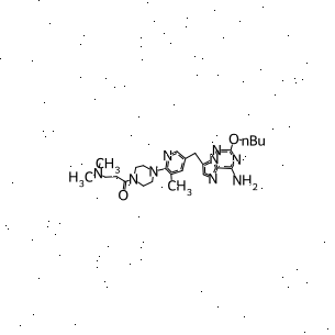 CCCCOc1nc(N)c2ncc(Cc3cnc(N4CCN(C(=O)CCN(C)C)CC4)c(C)c3)n2n1